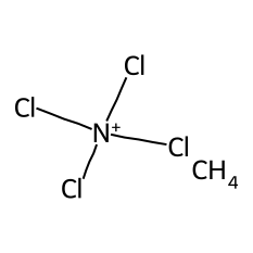 C.Cl[N+](Cl)(Cl)Cl